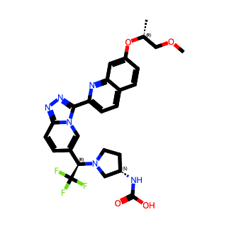 COC[C@@H](C)Oc1ccc2ccc(-c3nnc4ccc([C@@H](N5CC[C@H](NC(=O)O)C5)C(F)(F)F)cn34)nc2c1